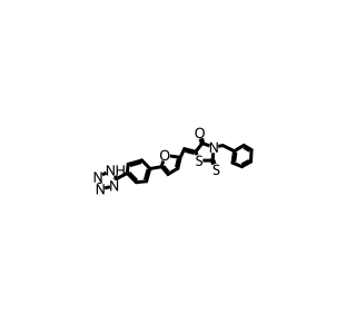 O=C1/C(=C/c2ccc(-c3ccc(-c4nnn[nH]4)cc3)o2)SC(=S)N1Cc1ccccc1